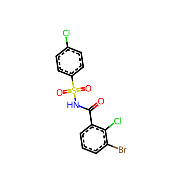 O=C(NS(=O)(=O)c1ccc(Cl)cc1)c1cccc(Br)c1Cl